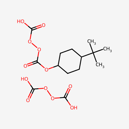 CC(C)(C)C1CCC(OC(=O)OOC(=O)O)CC1.O=C(O)OOC(=O)O